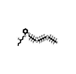 CCCC(F)CCOc1cc[c]cc1OCC(F)(F)C(F)(F)C(F)(F)OC(F)(F)C(F)(F)C(F)(F)C(F)(F)OC(F)(F)C(F)(F)C(F)(F)C(F)(F)F